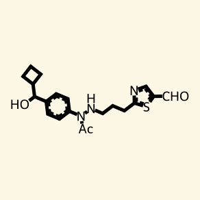 CC(=O)N(NCCCc1ncc(C=O)s1)c1ccc(C(O)C2CCC2)cc1